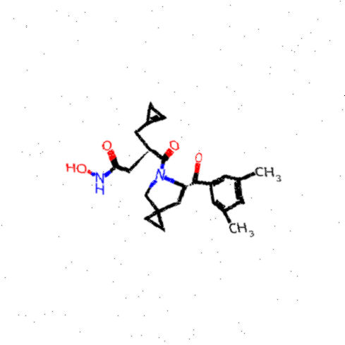 Cc1cc(C)cc(C(=O)[C@@H]2CC3(CC3)CN2C(=O)[C@@H](CC(=O)NO)CC2=CC2)c1